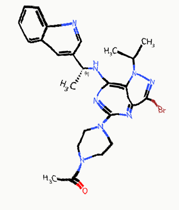 CC(=O)N1CCN(c2nc(N[C@H](C)c3cnc4ccccc4c3)c3c(n2)c(Br)nn3C(C)C)CC1